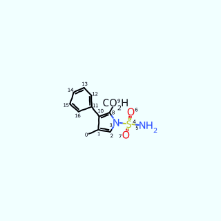 Cc1cn(S(N)(=O)=O)c(C(=O)O)c1-c1ccccc1